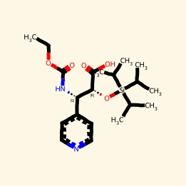 CCOC(=O)N[C@@H](c1ccncc1)[C@@H](O[Si](C(C)C)(C(C)C)C(C)C)C(=O)O